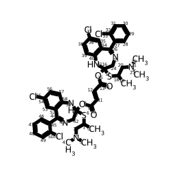 CC(CN(C)C)SC1(OC(=O)/C=C/C(=O)OC2(SC(C)CN(C)C)CN=C(c3ccccc3Cl)c3cc(Cl)ccc3N2)CN=C(c2ccccc2Cl)c2cc(Cl)ccc2N1